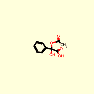 CC(=O)O[C@](O)(C(=O)O)c1ccccc1